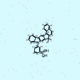 CC1(C)c2cc3c(cc2-c2c1ccc1ccccc21)c1ccccc1n3-c1cccc(B(O)O)c1